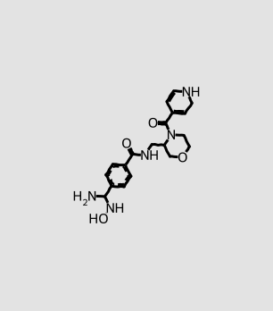 NC(NO)c1ccc(C(=O)NCC2COCCN2C(=O)C2=CCNC=C2)cc1